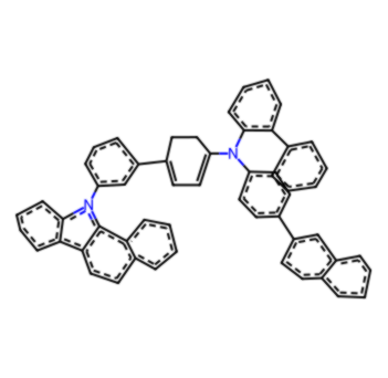 C1=C(c2cccc(-n3c4ccccc4c4ccc5ccccc5c43)c2)CCC(N(c2ccc(-c3ccc4ccccc4c3)cc2)c2ccccc2-c2ccccc2)=C1